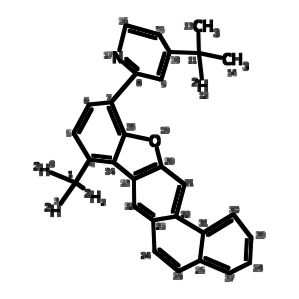 [2H]C([2H])([2H])c1ccc(-c2cc(C([2H])(C)C)ccn2)c2oc3cc4c(ccc5ccccc54)cc3c12